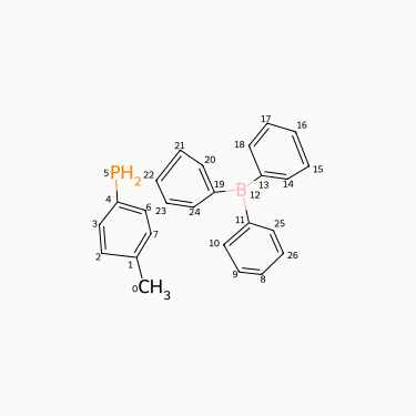 Cc1ccc(P)cc1.c1ccc(B(c2ccccc2)c2ccccc2)cc1